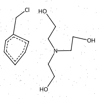 ClCc1ccccc1.OCCN(CCO)CCO